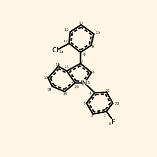 Fc1ccc(-n2cc(-c3ccccc3Cl)c3ccccc32)cc1